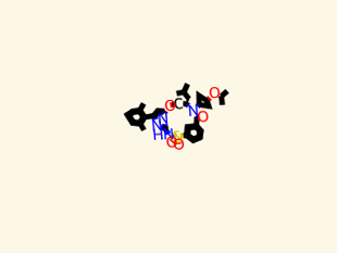 Cc1cccc(C)c1-c1cc2nc(n1)NS(=O)(=O)c1cccc(c1)C(=O)N(C1CC(OC(C)C)C1)[C@H](CC(C)C)CO2